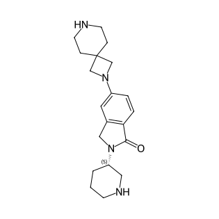 O=C1c2ccc(N3CC4(CCNCC4)C3)cc2CN1[C@H]1CCCNC1